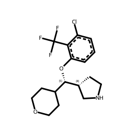 FC(F)(F)c1c(Cl)cccc1O[C@@H](C1CCOCC1)[C@@H]1CCNC1